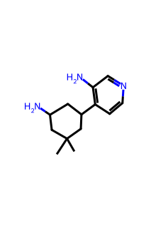 CC1(C)CC(N)CC(c2ccncc2N)C1